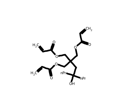 C=CC(=O)OCC(COC(=O)C=C)(COC(=O)C=C)CC(O)(CCC)CCC